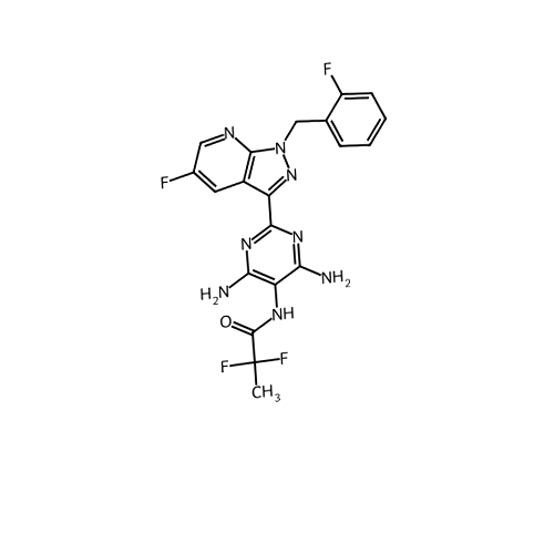 CC(F)(F)C(=O)Nc1c(N)nc(-c2nn(Cc3ccccc3F)c3ncc(F)cc23)nc1N